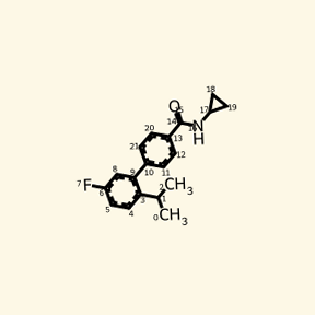 CC(C)c1ccc(F)cc1-c1ccc(C(=O)NC2CC2)cc1